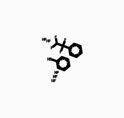 F.F.F.F.F.FC(F)C(F)(F)c1ccccc1.Sc1ccccc1